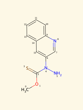 COC(=S)N(N)c1cnc2ccccc2c1